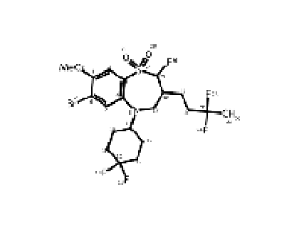 COc1cc2c(cc1Br)N(C1CCC(F)(F)CC1)CC(CCC(C)(F)F)C(F)S2(=O)=O